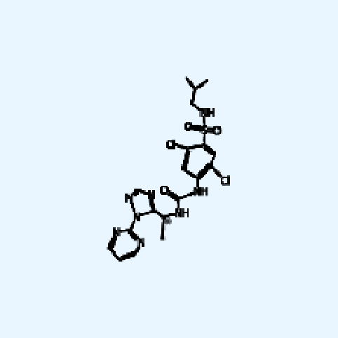 CC(C)CNS(=O)(=O)c1cc(Cl)c(NC(=O)N[C@@H](C)c2ncnn2-c2ncccn2)cc1Cl